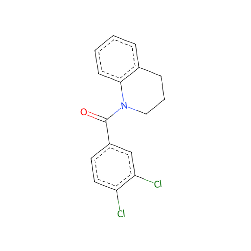 O=C(c1ccc(Cl)c(Cl)c1)N1CCCc2ccccc21